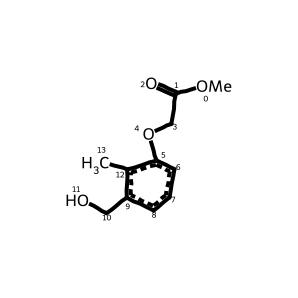 COC(=O)COc1cccc(CO)c1C